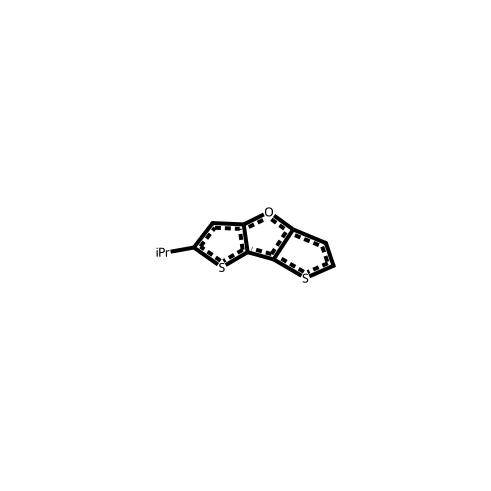 CC(C)c1cc2oc3ccsc3c2s1